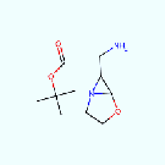 CC(C)(C)OC=O.NCC1C2OCCN12